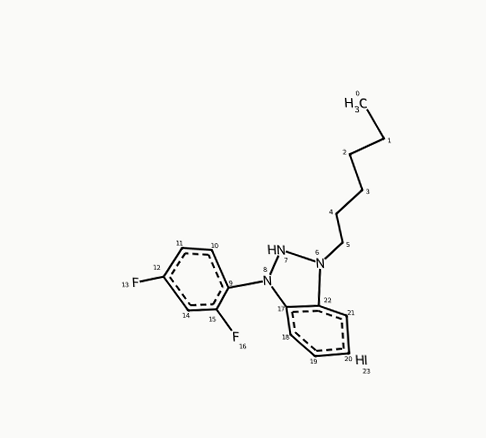 CCCCCCN1NN(c2ccc(F)cc2F)c2ccccc21.I